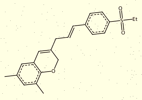 CCS(=O)(=O)c1ccc(C=CCC2=Cc3cc(C)cc(C)c3OC2)cc1